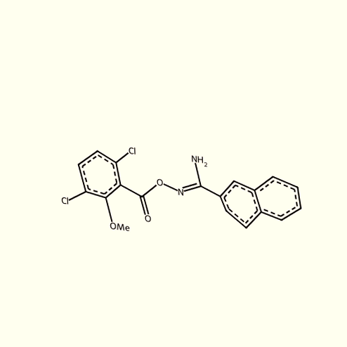 COc1c(Cl)ccc(Cl)c1C(=O)O/N=C(\N)c1ccc2ccccc2c1